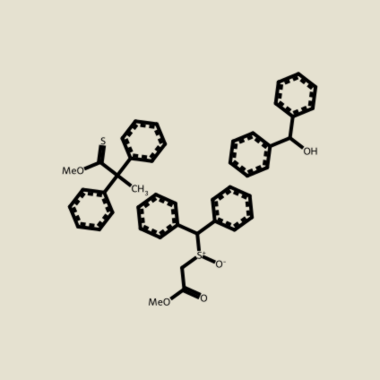 COC(=O)C[S+]([O-])C(c1ccccc1)c1ccccc1.COC(=S)C(C)(c1ccccc1)c1ccccc1.OC(c1ccccc1)c1ccccc1